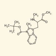 CNC(Cc1c(C)n(C(=O)OC(C)(C)C)c2ccccc12)C(=O)OC